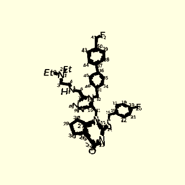 CCN(CC)CCNCc1nnc(Cn2c(SCc3ccc(F)cc3)nc(=O)c3c2CCC3)n1Cc1ccc(-c2ccc(CF)cc2)cc1